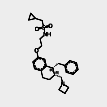 O=S(=O)(CC1CC1)NCCOc1ccc2c(c1)[C@H](Cc1ccccc1)[C@H](CN1CCC1)CC2